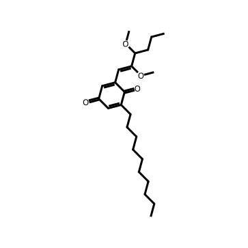 CCCCCCCCCCC1=CC(=O)C=C(C=C(OC)C(CCC)OC)C1=O